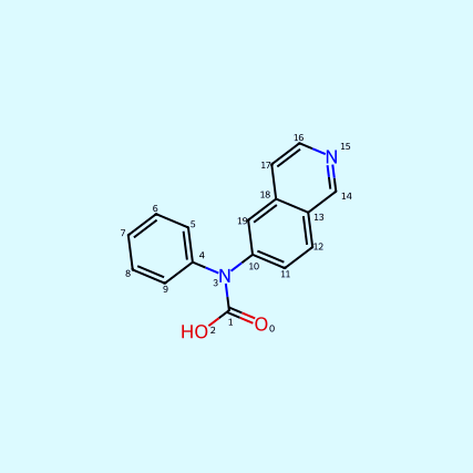 O=C(O)N(c1ccccc1)c1ccc2cnccc2c1